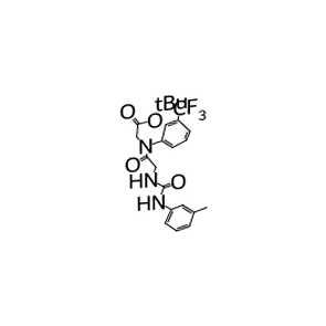 Cc1cccc(NC(=O)NCC(=O)N(CC(=O)OC(C)(C)C)c2cccc(C(F)(F)F)c2)c1